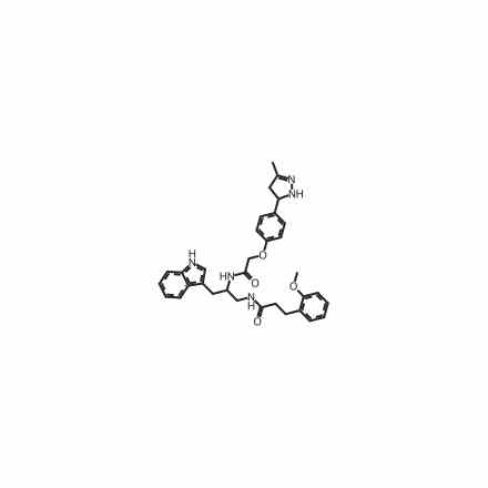 COc1ccccc1CCC(=O)NCC(Cc1c[nH]c2ccccc12)NC(=O)COc1ccc(C2CC(C)=NN2)cc1